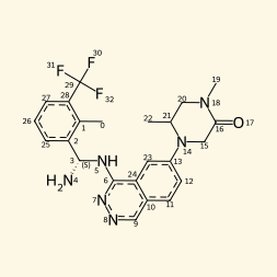 Cc1c([C@@H](N)Nc2nncc3ccc(N4CC(=O)N(C)CC4C)cc23)cccc1C(F)(F)F